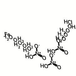 Cl.O.O.O.O.O.O.O.O.O.O=[N+]([O-])O.O=[N+]([O-])O.O=[N+]([O-])O.[Fe]